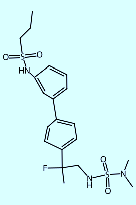 CCCS(=O)(=O)Nc1cccc(-c2ccc(C(C)(F)CNS(=O)(=O)N(C)C)cc2)c1